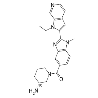 CCn1c(-c2nc3cc(C(=O)N4CCC[C@@H](N)C4)ccc3n2C)cc2ccncc21